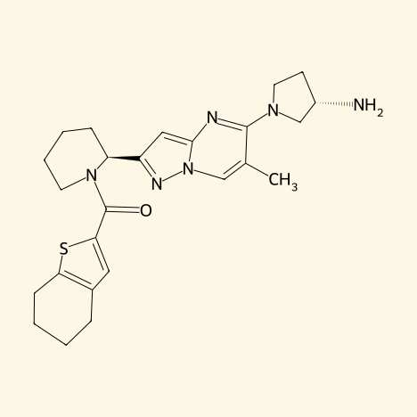 Cc1cn2nc([C@@H]3CCCCN3C(=O)c3cc4c(s3)CCCC4)cc2nc1N1CC[C@H](N)C1